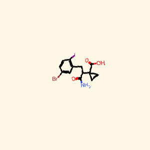 NC(=O)C(Cc1cc(Br)ccc1I)C1(C(=O)O)CC1